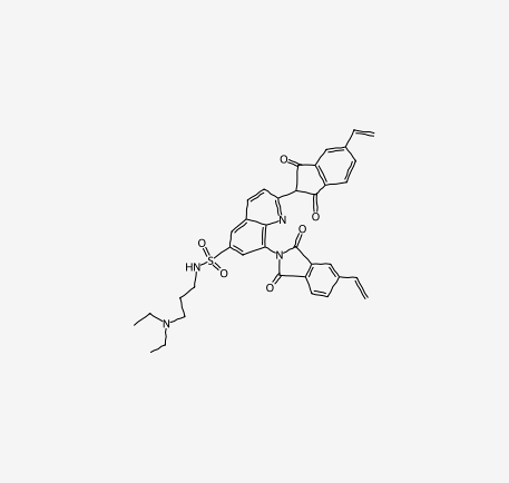 C=Cc1ccc2c(c1)C(=O)C(c1ccc3cc(S(=O)(=O)NCCCN(CC)CC)cc(N4C(=O)c5ccc(C=C)cc5C4=O)c3n1)C2=O